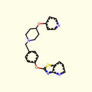 c1cnc2nc(Oc3ccc(CN4CCC(Oc5ccncc5)CC4)cc3)sc2c1